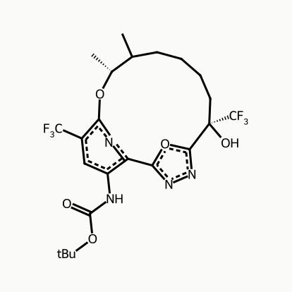 CC1CCCC[C@](O)(C(F)(F)F)c2nnc(o2)-c2nc(c(C(F)(F)F)cc2NC(=O)OC(C)(C)C)O[C@@H]1C